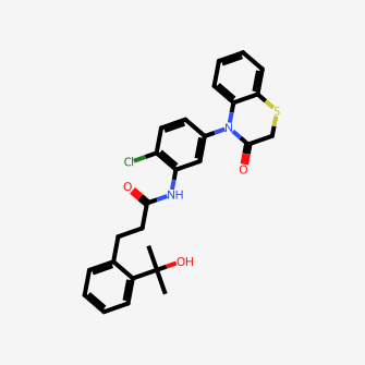 CC(C)(O)c1ccccc1CCC(=O)Nc1cc(N2C(=O)CSc3ccccc32)ccc1Cl